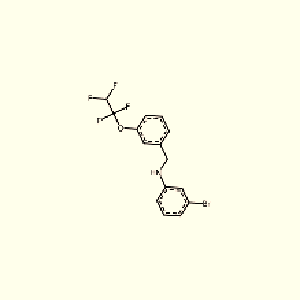 FC(F)C(F)(F)Oc1cccc(CNc2cccc(Br)c2)c1